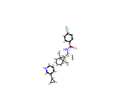 CC[C@@H](NC(=O)c1ccc(Cl)cc1)[C@H]1[C@@H]2C[C@H](c3cncc(C4CC4)c3)C[C@@H]21